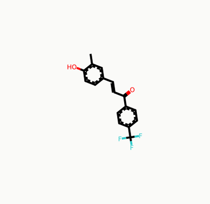 Cc1cc(/C=C/C(=O)c2ccc(C(F)(F)F)cc2)ccc1O